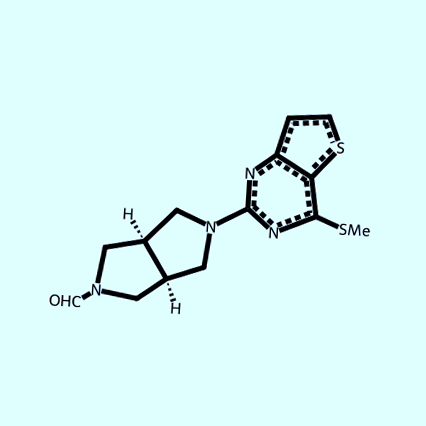 CSc1nc(N2C[C@H]3CN(C=O)C[C@H]3C2)nc2ccsc12